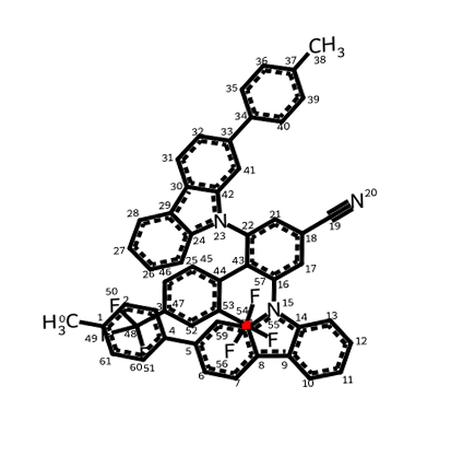 Cc1ccc(-c2ccc3c4ccccc4n(-c4cc(C#N)cc(-n5c6ccccc6c6ccc(-c7ccc(C)cc7)cc65)c4-c4ccc(C(F)(F)F)cc4C(F)(F)F)c3c2)cc1